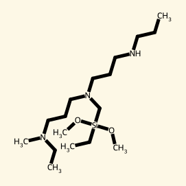 CCCNCCCN(CCCN(C)CC)C[Si](CC)(OC)OC